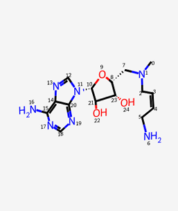 CN(C/C=C\CN)C[C@H]1O[C@@H](n2cnc3c(N)ncnc32)C(O)[C@H]1O